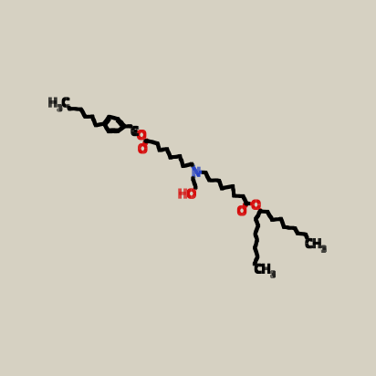 CCCCCCCCC(CCCCCCCC)OC(=O)CCCCCCCN(CCO)CCCCCCCC(=O)OCCc1ccc(CCCCCC)cc1